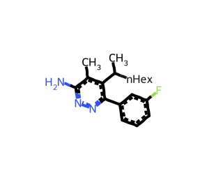 CCCCCCC(C)c1c(-c2cccc(F)c2)nnc(N)c1C